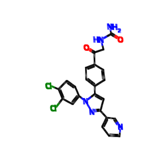 NC(=O)NCC(=O)c1ccc(-c2cc(-c3cccnc3)nn2-c2ccc(Cl)c(Cl)c2)cc1